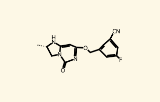 C[C@H]1Cn2c(cc(OCc3cc(F)cc(C#N)c3)nc2=O)N1